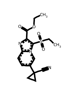 CCOC(=O)c1nc2ccc(C3(C#N)CC3)cn2c1S(=O)(=O)CC